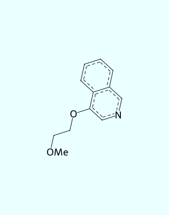 COCCOc1cncc2ccccc12